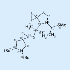 CSC(C)N1CCC2(CC2)C1C(C)(C)CC1CC12CC(C(C)(C)C)N(C(C)(C)C)C2